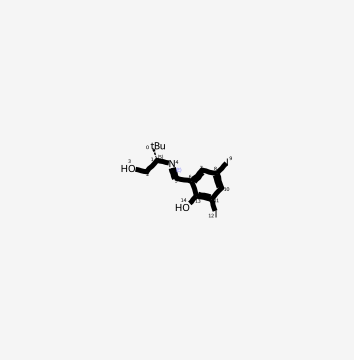 CC(C)(C)[C@@H](CO)/N=C/c1cc(I)cc(I)c1O